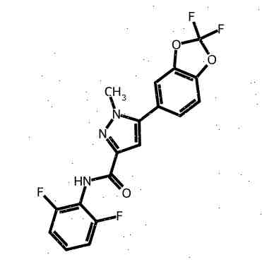 Cn1nc(C(=O)Nc2c(F)cccc2F)cc1-c1ccc2c(c1)OC(F)(F)O2